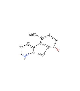 COc1ccc(Br)c(OC)c1-c1cccnc1